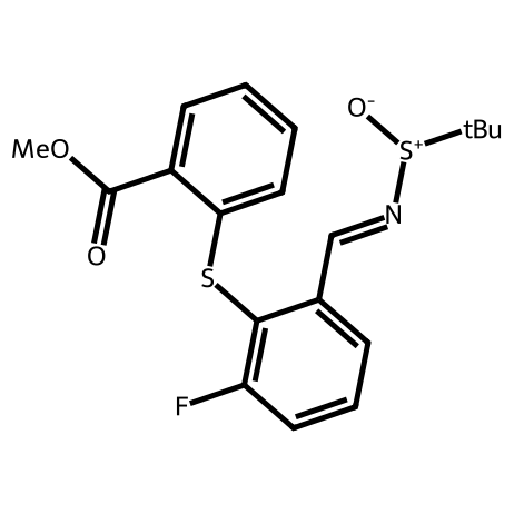 COC(=O)c1ccccc1Sc1c(F)cccc1C=N[S+]([O-])C(C)(C)C